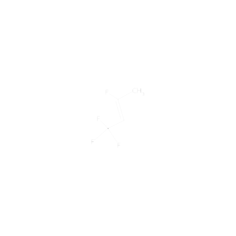 C/C(F)=C/C(F)(F)F